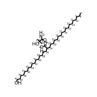 CC(C)(O)C(N)=O.CCCCCCCCCCCCCCCCCCC(CCCCCCCCCCCCCCCCO)C(=O)O